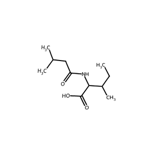 CCC(C)C(NC(=O)CC(C)C)C(=O)O